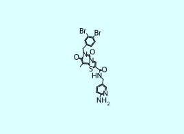 Cc1c(=O)n(Cc2ccc(Br)c(Br)c2)c(=O)n2cc(C(=O)NCc3ccc(N)nc3)sc12